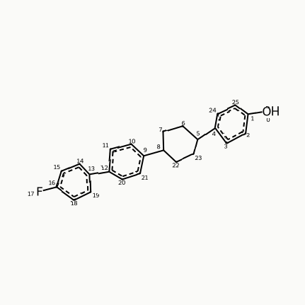 Oc1ccc(C2CCC(c3ccc(-c4ccc(F)cc4)cc3)CC2)cc1